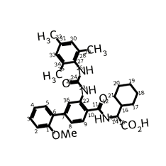 COc1ccccc1-c1ccc(C(=O)N[C@H](C(=O)O)C2CCCCC2)c(NC(=O)Nc2c(C)cc(C)cc2C)c1